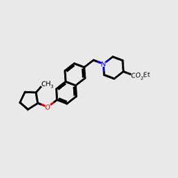 CCOC(=O)C1CCN(Cc2ccc3cc(OC4CCCC4C)ccc3c2)CC1